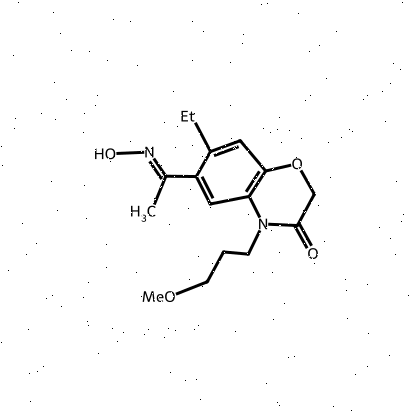 CCc1cc2c(cc1C(C)=NO)N(CCCOC)C(=O)CO2